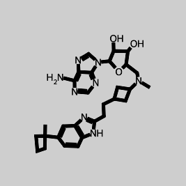 CN(CC1OC(n2cnc3c(N)ncnc32)C(O)C1O)C1CC(CCc2nc3cc(C4(C)CCC4)ccc3[nH]2)C1